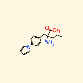 CCCC(N)(Cc1ccc(-n2cccc2)cc1)C(=O)O